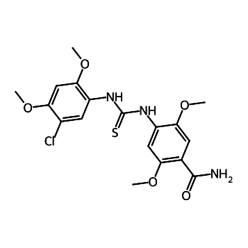 COc1cc(OC)c(NC(=S)Nc2cc(OC)c(C(N)=O)cc2OC)cc1Cl